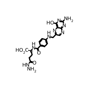 NNC(=O)CC[C@H](NC(=O)c1ccc(NCc2cnc3nc(N)nc(O)c3n2)cc1)C(=O)O